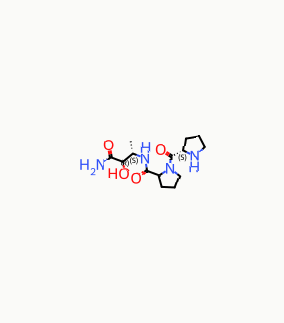 C[C@H](NC(=O)C1CCCN1C(=O)[C@@H]1CCCN1)[C@@H](O)C(N)=O